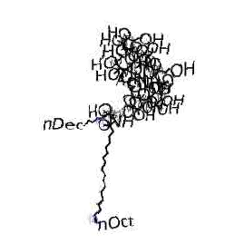 CCCCCCCC/C=C\CCCCCCCCCCCCCCCC(=O)N[C@@H](CO[C@@H]1OC(CO)[C@@H](O[C@@H]2OC(CO)[C@H](O)[C@H](O[C@@H]3OC(CO)[C@@H](O)[C@H](O[C@@H]4OC(CO)[C@H](O)[C@H](O[C@H]5OC(CO)[C@H](O)[C@H](O)C5O)C4O[C@H]4OC(C)[C@@H](O)C(O)[C@@H]4O)C3NC(C)=O)C2O)[C@H](O)C1O)[C@H](O)/C=C/CCCCCCCCCCCCC